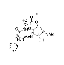 CN[C@H]1CC2OC(OC(C)C)[C@](O)([C@@H](C)NC(=O)[C@@H](N)Cc3ccccc3)OC2[C@@H](NC)[C@H]1O